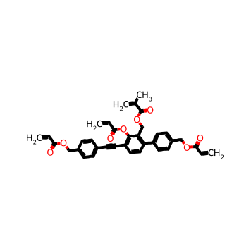 C=CC(=O)OCc1ccc(C#Cc2ccc(-c3ccc(COC(=O)C=C)cc3)c(COC(=O)C(=C)C)c2OC(=O)C=C)cc1